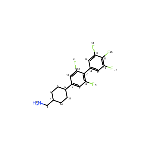 NCC1CCC(c2cc(F)c(-c3cc(F)c(F)c(F)c3)c(F)c2)CC1